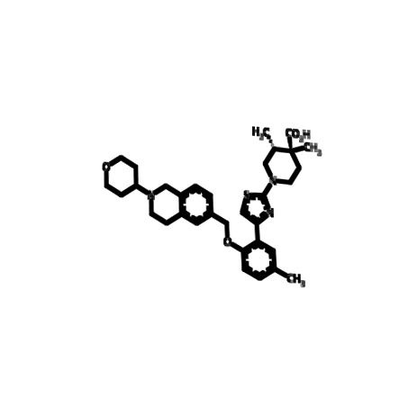 Cc1ccc(OCc2ccc3c(c2)CCN(C2CCOCC2)C3)c(-c2csc(N3CC[C@](C)(C(=O)O)[C@@H](C)C3)n2)c1